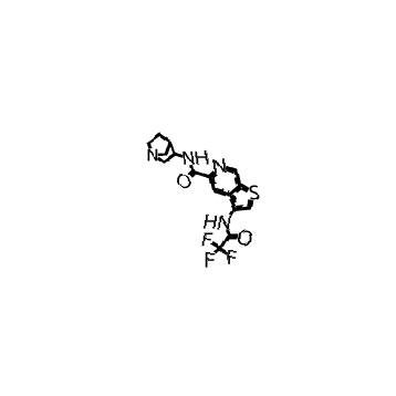 O=C(NC1CN2CCC1C2)c1cc2c(NC(=O)C(F)(F)F)csc2cn1